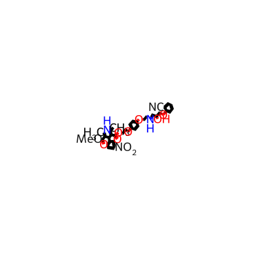 COC(=O)C1=C(C)NC(C)=C(C(=O)OCCOc2ccc(OCCNCC(O)COc3ccccc3C#N)cc2)C1c1cccc([N+](=O)[O-])c1